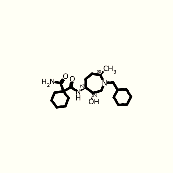 C[C@@H]1CC[C@H](NC(=O)C2(C(N)=O)CCCCC2)[C@@H](O)CN1CC1CCCCC1